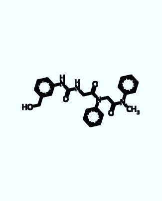 CN(C(=O)CN(C(=O)CNC(=O)Nc1cccc(CO)c1)c1ccccc1)c1ccccc1